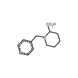 O=C(O)C1CCCCN1Cc1ccncc1